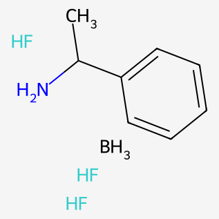 B.CC(N)c1ccccc1.F.F.F